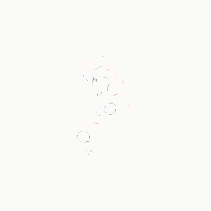 COc1ccc(OC(=O)Nc2ccc(O)c3c2C[C@H]2C[C@H]4[C@H](N(C)C)C(O)=C(C(C)=O)C(=O)[C@@]4(O)C(O)=C2C3=O)cc1